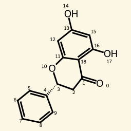 O=C1C[C@H](c2ccccc2)Oc2cc(O)cc(O)c21